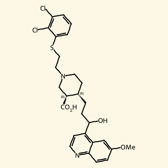 COc1ccc2nccc(C(O)CC[C@@H]3CCN(CCSc4cccc(Cl)c4Cl)C[C@@H]3C(=O)O)c2c1